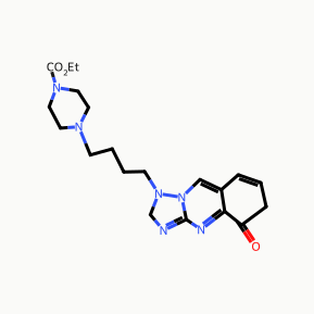 CCOC(=O)N1CCN(CCCCN2CN=C3N=C4C(=O)CC=CC4=CN32)CC1